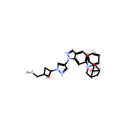 COCC12CC(n3cc(-n4ncc5cc(Cl)c(N6CC7CC(C6)C7(O)c6ccccc6)cc54)cn3)(C1)C2